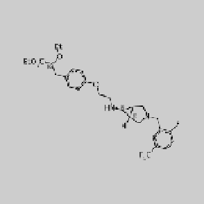 CCOC(=O)[C@H](Cc1ccc(OCCN[C@H]2C3CN(Cc4cc(C(F)(F)F)ccc4F)C[C@@H]32)cc1)OCC